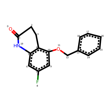 O=C1CCc2c(cc(F)cc2OCc2ccccc2)N1